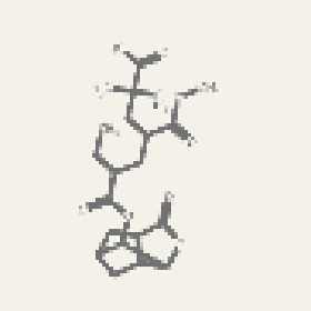 CCC(CC(CC(C)(C)C(=O)O)C(=O)OC)C(=O)OC1C2CC3C(=O)OC1C3C2